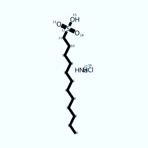 CCCCCCCCCCCCS(=O)(=O)O.Cl.[NaH]